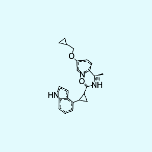 C[C@@H](NC(=O)C1CC1c1cccc2[nH]ccc12)c1ccc(OCC2CC2)cn1